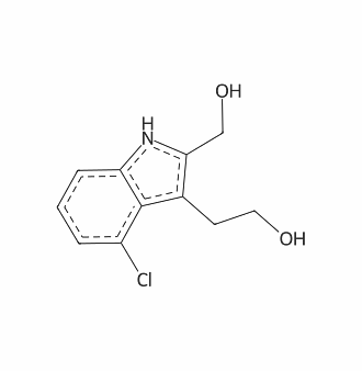 OCCc1c(CO)[nH]c2cccc(Cl)c12